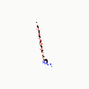 COCCOCCOCCOCCOCCOCCOCCOc1ccc(N)nn1